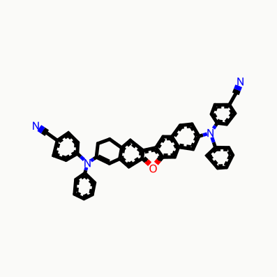 N#Cc1ccc(N(C2=Cc3cc4oc5cc6cc(N(c7ccccc7)c7ccc(C#N)cc7)ccc6cc5c4cc3CC2)c2ccccc2)cc1